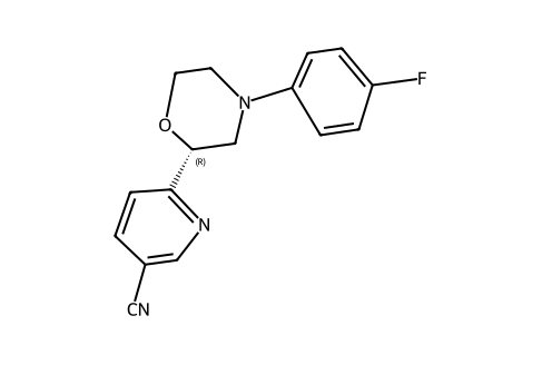 N#Cc1ccc([C@H]2CN(c3ccc(F)cc3)CCO2)nc1